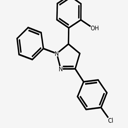 Oc1ccccc1C1CC(c2ccc(Cl)cc2)=NN1c1ccccc1